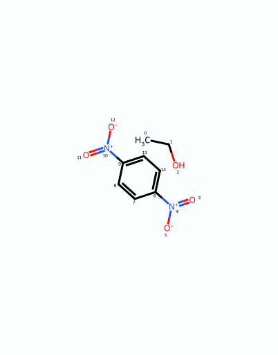 CCO.O=[N+]([O-])c1ccc([N+](=O)[O-])cc1